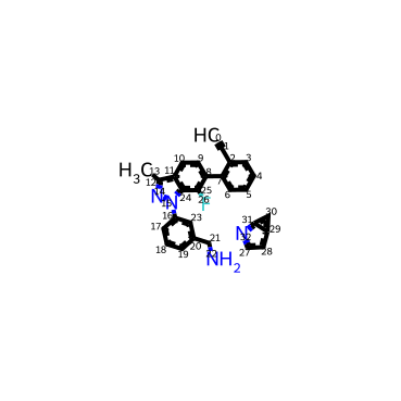 C#Cc1ccccc1-c1ccc2c(C)nn(-c3cccc(CN)c3)c2c1F.c1cc2cc-2n1